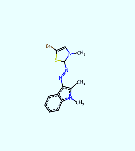 Cc1c(N=NC2SC(Br)=CN2C)c2ccccc2n1C